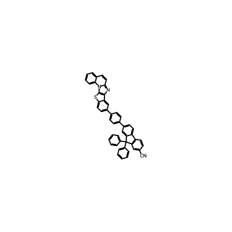 N#Cc1ccc2c(c1)C(c1ccccc1)(c1ccccc1)c1cc(-c3ccc(-c4ccc5sc6c(nc7ccc8ccccc8n76)c5c4)cc3)ccc1-2